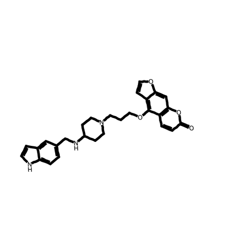 O=c1ccc2c(OCCCN3CCC(NCc4ccc5[nH]ccc5c4)CC3)c3ccoc3cc2o1